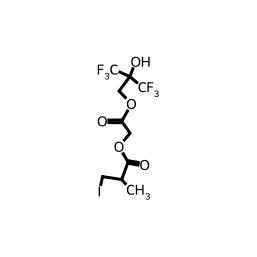 CC(CI)C(=O)OCC(=O)OCC(O)(C(F)(F)F)C(F)(F)F